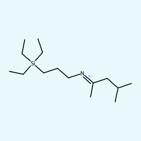 CC[Si](CC)(CC)CCC/N=C(\C)CC(C)C